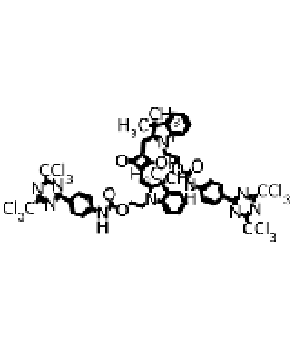 CC1(C)C(=CC2=C(O)C(=CC3=[N+](CCOC(=O)Nc4ccc(-c5nc(C(Cl)(Cl)Cl)nc(C(Cl)(Cl)Cl)n5)cc4)c4ccccc4C3(C)C)C2=O)N(CCOC(=O)Nc2ccc(-c3nc(C(Cl)(Cl)Cl)nc(C(Cl)(Cl)Cl)n3)cc2)c2ccccc21